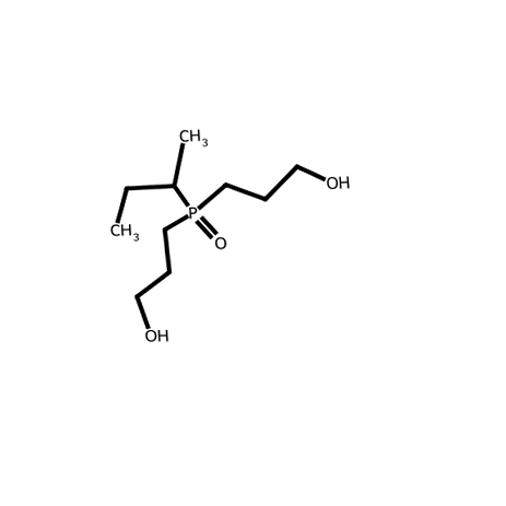 CCC(C)P(=O)(CCCO)CCCO